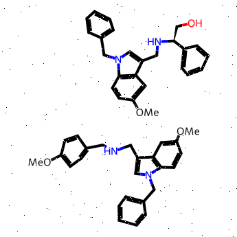 COc1ccc(CNCc2cn(Cc3ccccc3)c3ccc(OC)cc23)cc1.COc1ccc2c(c1)c(CN[C@@H](CO)c1ccccc1)cn2Cc1ccccc1